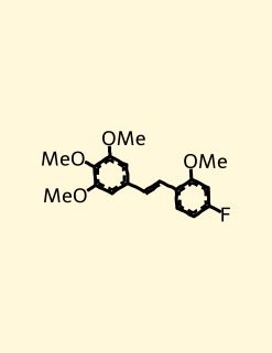 COc1cc(F)ccc1C=Cc1cc(OC)c(OC)c(OC)c1